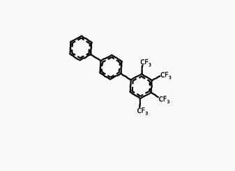 FC(F)(F)c1cc(-c2ccc(-c3ccccc3)cc2)c(C(F)(F)F)c(C(F)(F)F)c1C(F)(F)F